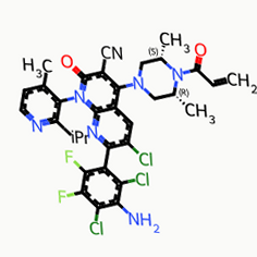 C=CC(=O)N1[C@H](C)CN(c2c(C#N)c(=O)n(-c3c(C)ccnc3C(C)C)c3nc(-c4c(F)c(F)c(Cl)c(N)c4Cl)c(Cl)cc23)C[C@@H]1C